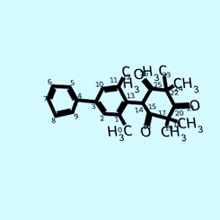 Cc1cc(-c2ccccc2)cc(C)c1C1C(=O)C(C)(C)C(=O)C(C)(C)C1=O